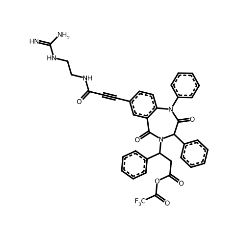 N=C(N)NCCNC(=O)C#Cc1ccc2c(c1)C(=O)N(C(CC(=O)OC(=O)C(F)(F)F)c1ccccc1)C(c1ccccc1)C(=O)N2c1ccccc1